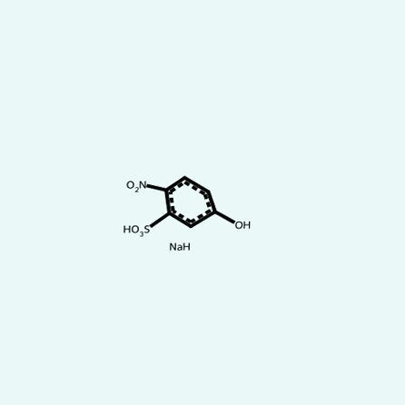 O=[N+]([O-])c1ccc(O)cc1S(=O)(=O)O.[NaH]